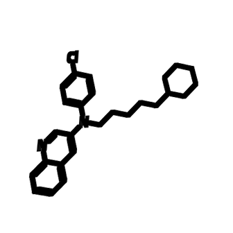 Clc1ccc(N(CCCCCC2CCCCC2)c2cnc3ccccc3c2)cc1